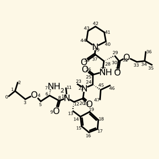 CC(C)COC[C@H](N)C(=O)N(C)[C@@H](Cc1ccccc1)C(=O)N(C)[C@H](C(=O)N[C@@H](CC(=O)OCC(C)C)C(=O)N1CCCCC1)C(C)C